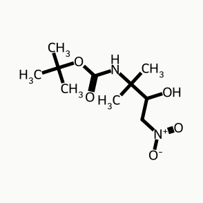 CC(C)(C)OC(=O)NC(C)(C)C(O)C[N+](=O)[O-]